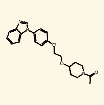 CC(=O)N1CCC(OCCOc2ccc(-n3cnc4ccccc43)cc2)CC1